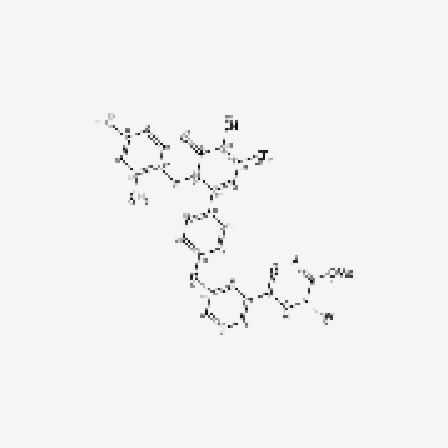 COC(=O)[C@@H](NC(=O)c1cccc(Oc2ccc(-c3cc(C(F)(F)F)c(C#N)c(=O)n3Cc3ccc(C)cc3C)cc2)c1)C(C)C